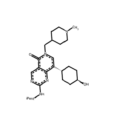 CCCC(C)Nc1ncc2c(=O)n(CC3CCN(C)CC3)cc([C@H]3CC[C@H](O)CC3)c2n1